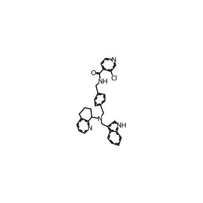 O=C(NCc1ccc(CN(Cc2c[nH]c3ccccc23)C2CCCc3cccnc32)cc1)c1ccncc1Cl